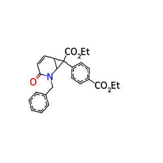 CCOC(=O)c1ccc(C2(C(=O)OCC)C3C=CC(=O)N(Cc4ccccc4)C32)cc1